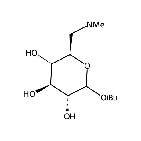 CNC[C@H]1OC(OCC(C)C)[C@H](O)[C@@H](O)[C@@H]1O